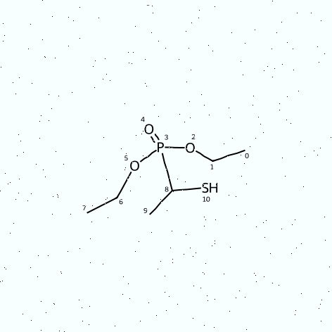 CCOP(=O)(OCC)C(C)S